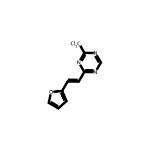 ClC(Cl)(Cl)c1ncnc(C=Cc2ccco2)n1